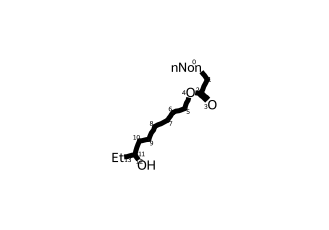 CCCCCCCCCCC(=O)OCCCCCCC(O)CC